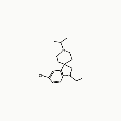 CCN1CC2(CCN(C(C)C)CC2)c2cc(Cl)ccc21